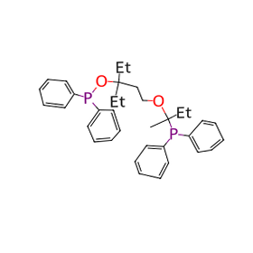 CCC(CC)(CCOC(C)(CC)P(c1ccccc1)c1ccccc1)OP(c1ccccc1)c1ccccc1